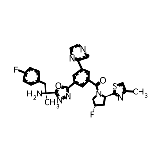 Cc1csc([C@H]2C[C@H](F)CN2C(=O)c2cc(-c3cnccn3)cc(-c3nnc([C@](C)(N)Cc4ccc(F)cc4)o3)c2)n1